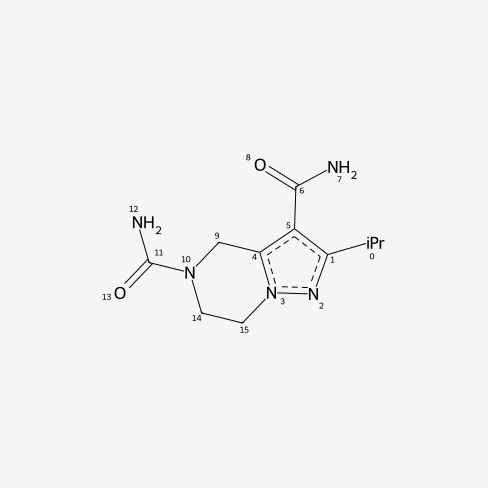 CC(C)c1nn2c(c1C(N)=O)CN(C(N)=O)CC2